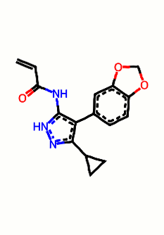 C=CC(=O)Nc1[nH]nc(C2CC2)c1-c1ccc2c(c1)OCO2